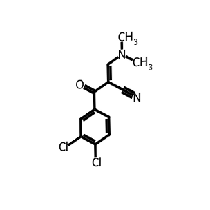 CN(C)C=C(C#N)C(=O)c1ccc(Cl)c(Cl)c1